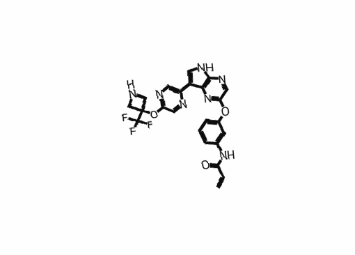 C=CC(=O)Nc1cccc(Oc2cnc3[nH]cc(-c4cnc(OC5(C(F)(F)F)CNC5)cn4)c3n2)c1